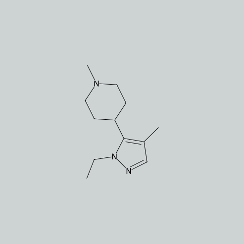 CCn1ncc(C)c1C1CCN(C)CC1